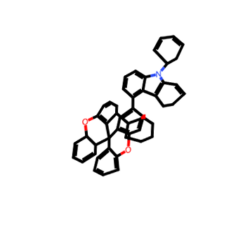 C1=CCC(n2c3c(c4c(-c5ccc6c(c5)C5(C7=C(C=CCC7C7CCCCC7)OC7C=CC=CC75)c5ccccc5O6)cccc42)CCC=C3)C=C1